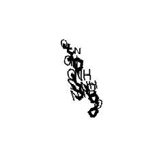 Cc1cc(Oc2ccccc2)ccc1N1C(=O)Nc2c(C(=O)N[C@@H]3CCCN(C(=O)C(C#N)=CC4(C)COC4)C3)sc3nccc1c23